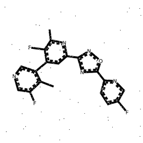 Cc1nc(-c2noc(-c3ccc(F)cn3)n2)cc(-c2cncc(F)c2C)c1F